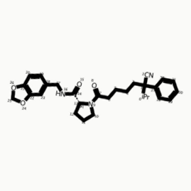 CC(C)C(C#N)(CCCCC(=O)N1CCC[C@@H]1C(=O)NCc1ccc2c(c1)OCO2)c1ccccc1